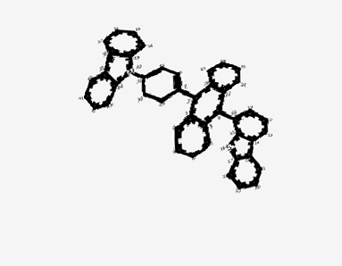 C1=C(c2c3ccccc3c(-c3cccc4c3sc3ccccc34)c3ccccc23)CCC(n2c3ccccc3c3ccccc32)=C1